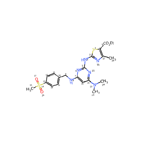 CCOC(=O)c1sc(Nc2nc(NCc3ccc(S(C)(=O)=O)cc3)cc(N(C)C)n2)nc1C